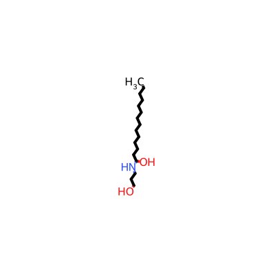 CCCCCCCCCCCCCC(O)NCCCO